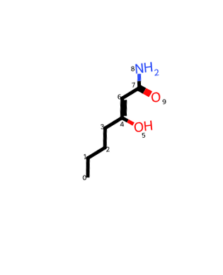 CCCC/C(O)=C/C(N)=O